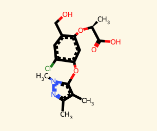 Cc1nn(C)c(Oc2cc(O[C@@H](C)C(=O)O)c(CO)cc2Cl)c1C